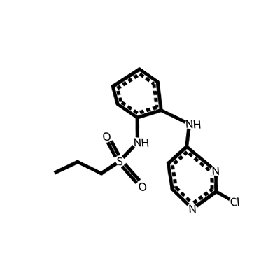 CCCS(=O)(=O)Nc1ccccc1Nc1ccnc(Cl)n1